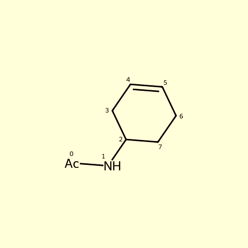 CC(=O)NC1CC=CCC1